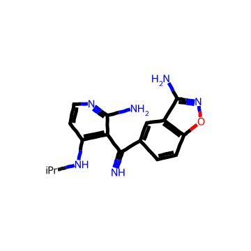 CC(C)Nc1ccnc(N)c1C(=N)c1ccc2onc(N)c2c1